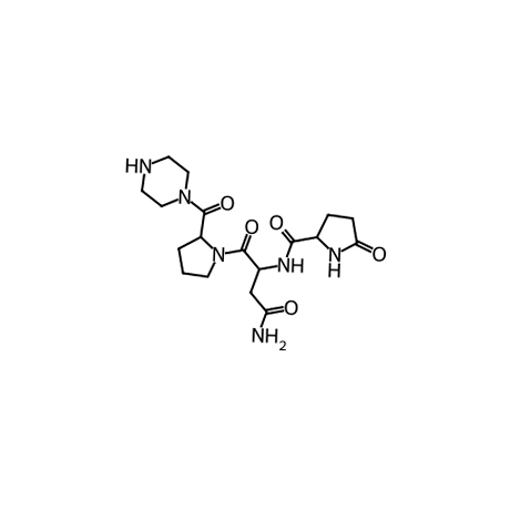 NC(=O)CC(NC(=O)C1CCC(=O)N1)C(=O)N1CCCC1C(=O)N1CCNCC1